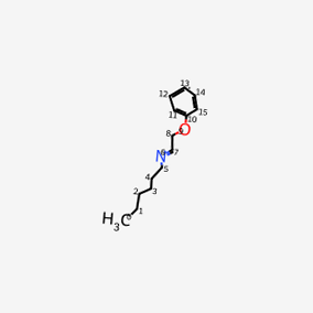 CCCCCCN=CCOc1cc[c]cc1